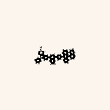 C1=Cc2c(c3cc(-c4ccc(-c5ccc(-c6c7ccccc7c(-c7cccc8ccccc78)c7ccccc67)cc5)c5ccccc45)ccc3n2-c2ccccc2)CN1